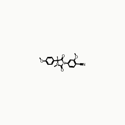 COc1ccc([C@]2(C)C(=O)N(c3ccc(C#N)c(OC)c3)C(=O)N2C)cc1